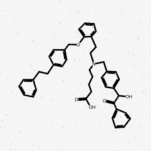 O=C(O)CCCCN(CCc1ccccc1OCc1ccc(CCc2ccccc2)cc1)Cc1ccc(C(O)C(=O)c2ccccc2)cc1